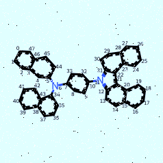 c1ccc2cc(N(c3ccc(-n4c5ccc6ccccc6c5c5c6ccccc6ccc54)cc3)c3cccc4ccccc34)ccc2c1